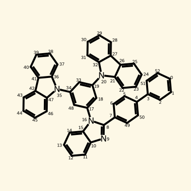 c1ccc(-c2ccc(-c3nc4ccccc4n3-c3cc(-n4c5ccccc5c5ccccc54)cc(-n4c5ccccc5c5ccccc54)c3)cc2)cc1